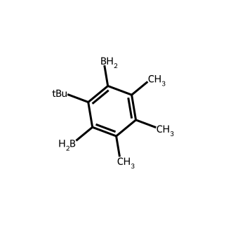 Bc1c(C)c(C)c(C)c(B)c1C(C)(C)C